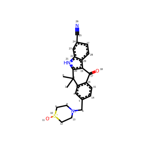 CC1(C)c2cc(CN3CC[S+]([O-])CC3)ccc2C(=O)c2c1[nH]c1cc(C#N)ccc21